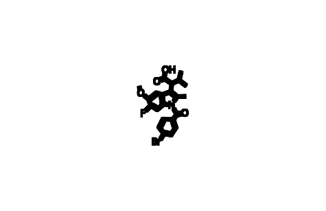 COc1cc2c(C(C(=O)O)C(C)C)c(C)n(C(=O)c3ccc(Br)cc3)c2cc1F